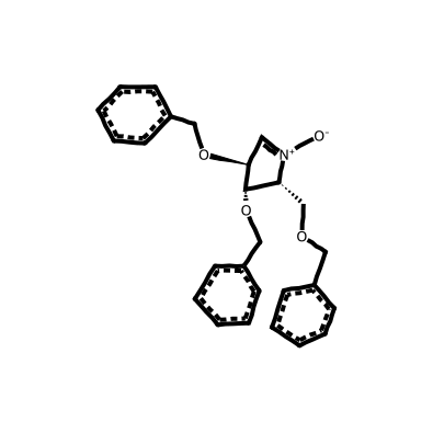 [O-][N+]1=C[C@H](OCc2ccccc2)[C@@H](OCc2ccccc2)[C@H]1COCc1ccccc1